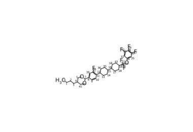 CCCCC1COC(c2ccc(C3CCC(C4CCC(C(F)(F)Oc5cc(F)c(F)c(F)c5)CC4)CC3)c(F)c2)OC1